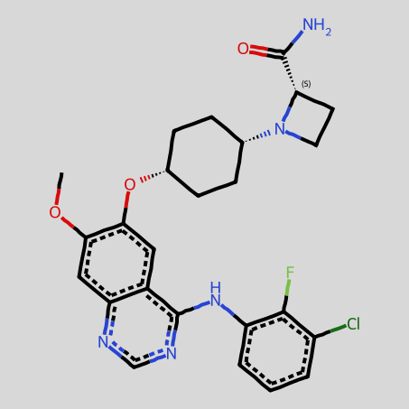 COc1cc2ncnc(Nc3cccc(Cl)c3F)c2cc1O[C@H]1CC[C@@H](N2CC[C@H]2C(N)=O)CC1